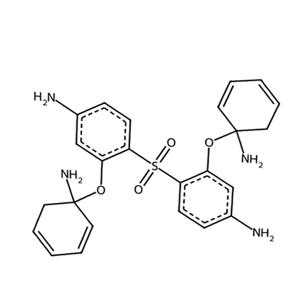 Nc1ccc(S(=O)(=O)c2ccc(N)cc2OC2(N)C=CC=CC2)c(OC2(N)C=CC=CC2)c1